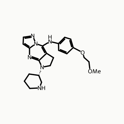 COCCOc1ccc(Nc2c3c(nc4ccnn24)N([C@H]2CCCNC2)CC3)cc1